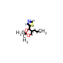 C=CCC1COC(C)(C)OC1c1cncs1